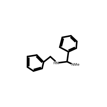 CNC(NCc1ccccc1)c1ccccc1